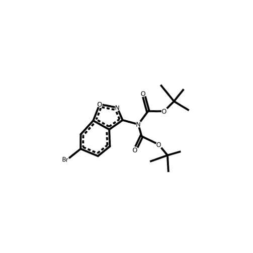 CC(C)(C)OC(=O)N(C(=O)OC(C)(C)C)c1noc2cc(Br)ccc12